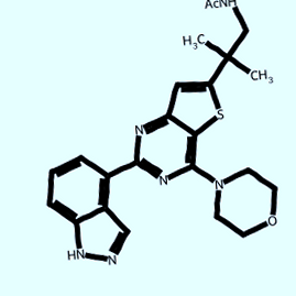 CC(=O)NCC(C)(C)c1cc2nc(-c3cccc4[nH]ncc34)nc(N3CCOCC3)c2s1